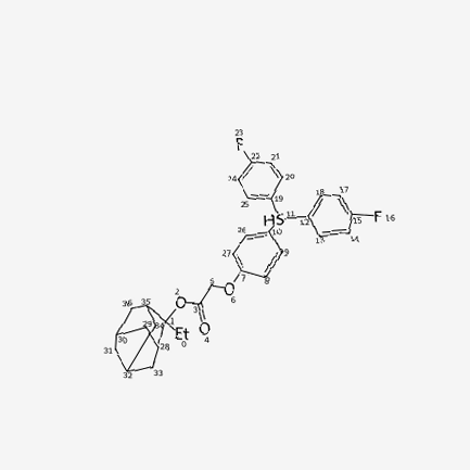 CCC1(OC(=O)COc2ccc([SH](c3ccc(F)cc3)c3ccc(F)cc3)cc2)C2CC3CC(C2)CC1C3